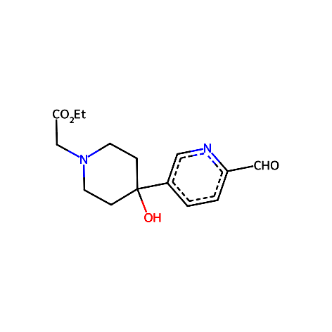 CCOC(=O)CN1CCC(O)(c2ccc(C=O)nc2)CC1